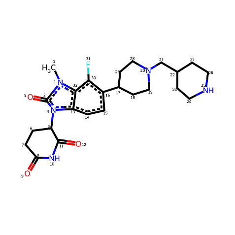 Cn1c(=O)n(C2CCC(=O)NC2=O)c2ccc(C3CCN(CC4CCNCC4)CC3)c(F)c21